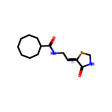 O=C1NCS/C1=C\CNC(=O)C1CCCCCCC1